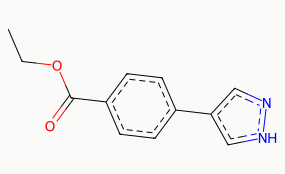 CCOC(=O)c1ccc(-c2cn[nH]c2)cc1